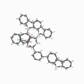 c1ccc(-c2nc(-c3cccc(-c4ccc5c(c4)oc4ccccc45)c3)nc(-n3c4ccccc4c4ccc5c6ccccc6n(-c6ccccc6)c5c43)n2)cc1